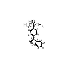 CC(C)(O)c1ccc(-c2csc3ccccc23)cc1